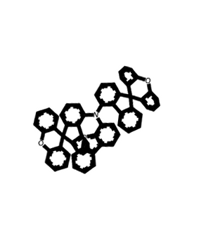 c1ccc2c(c1)Oc1ccccc1C21c2ccccc2-c2c(N(c3cccc4c3-c3ccccc3C43c4ccccc4Oc4ccccc43)c3cccc4c3oc3ccccc34)cccc21